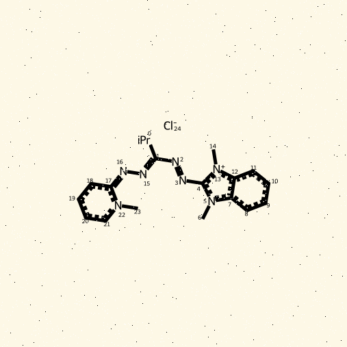 CC(C)C(N=Nc1n(C)c2ccccc2[n+]1C)=NN=c1ccccn1C.[Cl-]